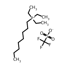 CCCCCCCC[P+](CC)(CC)CC.O=S(=O)([O-])C(F)(F)F